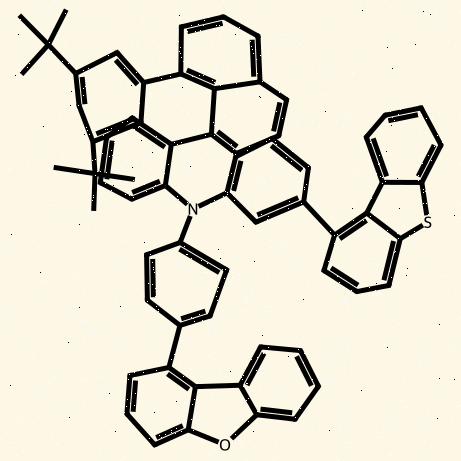 CC(C)(C)c1cc(-c2cccc3cccc(-c4ccccc4N(c4ccc(-c5cccc6oc7ccccc7c56)cc4)c4cccc(-c5cccc6sc7ccccc7c56)c4)c23)cc(C(C)(C)C)c1